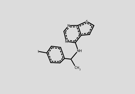 CC(Nc1ncnc2sccc12)c1ccc(I)cc1